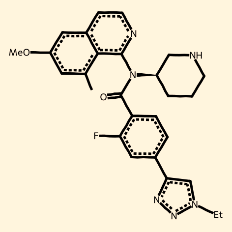 CCn1cc(-c2ccc(C(=O)N(c3nccc4cc(OC)cc(C)c34)[C@@H]3CCCNC3)c(F)c2)nn1